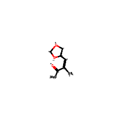 COC(=O)C(C)=CC1COCO1